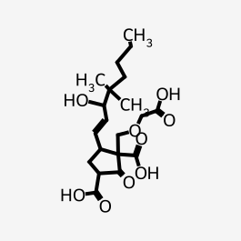 CCCCC(C)(C)C(O)C=CC1CC(C(=O)O)C(=O)C1(COCC(=O)O)C(=O)O